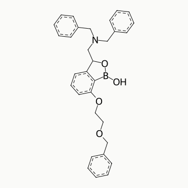 OB1OC(CN(Cc2ccccc2)Cc2ccccc2)c2cccc(OCCOCc3ccccc3)c21